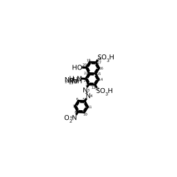 Nc1c(/N=N/c2ccc([N+](=O)[O-])cc2)c(S(=O)(=O)O)cc2cc(S(=O)(=O)O)cc(O)c12.[NaH].[NaH]